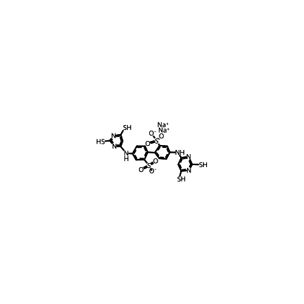 O=S(=O)([O-])c1cc(Nc2cc(S)nc(S)n2)ccc1-c1ccc(Nc2cc(S)nc(S)n2)cc1S(=O)(=O)[O-].[Na+].[Na+]